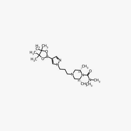 C[C@@H]1CN(CCCn2cc(B3OC(C)(C)C(C)(C)O3)cn2)C[C@H](C)N1C(=O)N(C)C